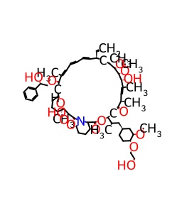 C=C[C@@H]1/C=C/C=C/C=C(\C)C(OC[C@H](O)c2ccccc2)C[C@@H]2CC[C@@H](C)[C@@](O)(O2)C(=O)C(=O)N2CCCCC2C(=O)O[C@H]([C@H](C)C[C@@H]2CC[C@@H](OCCO)[C@H](OC)C2)CC(=O)[C@H](C)/C=C(\C)[C@@H](O)[C@@H](OC)C(=O)[C@H](C)C1